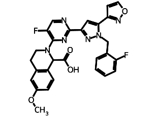 COc1ccc2c(c1)CCN(c1nc(-c3cc(-c4ccon4)n(Cc4ccccc4F)n3)ncc1F)C2C(=O)O